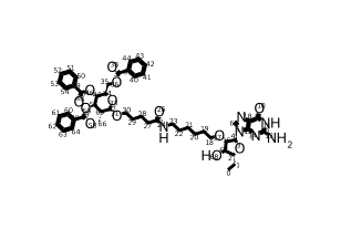 CC[C@H]1O[C@@H](n2cnc3c(=O)[nH]c(N)nc32)[C@@H](OCCCCCCNC(=O)CCCCO[C@@H]2O[C@H](COC(=O)c3ccccc3)[C@H](OC(=O)c3ccccc3)[C@H](OC(=O)c3ccccc3)[C@H]2C)C1O